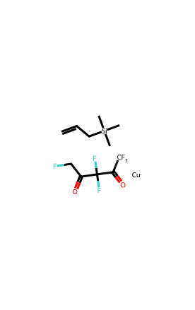 C=CC[Si](C)(C)C.O=C(CF)C(F)(F)C(=O)C(F)(F)F.[Cu]